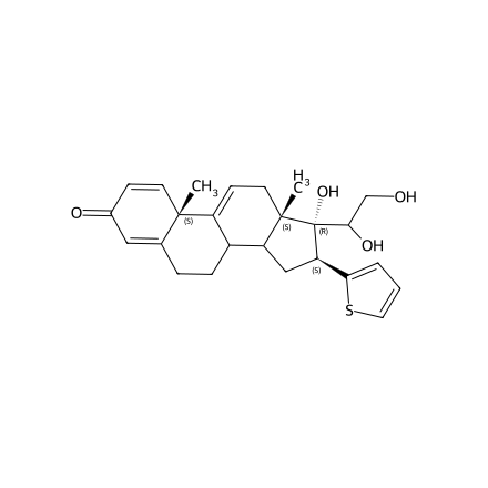 C[C@]12C=CC(=O)C=C1CCC1C2=CC[C@@]2(C)C1C[C@H](c1cccs1)[C@]2(O)C(O)CO